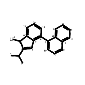 [Li][CH]1C(C(C)C)=Cc2c(-c3cccc4ccccc34)cccc21